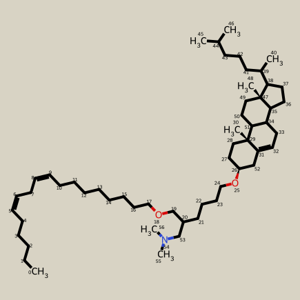 CCCCC/C=C\C/C=C\CCCCCCCCOCC(CCCCO[C@H]1CC[C@@]2(C)C(=CCC3C4CCC(C(C)CCCC(C)C)[C@@]4(C)CCC32)C1)CN(C)C